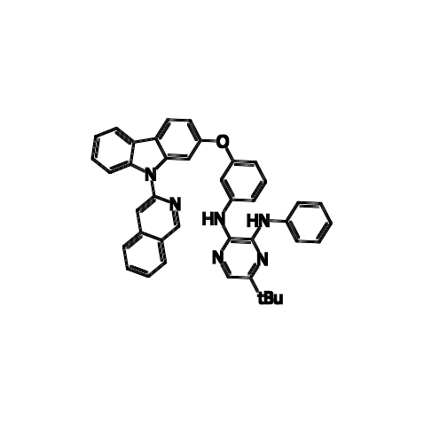 CC(C)(C)c1cnc(Nc2cccc(Oc3ccc4c5ccccc5n(-c5cc6ccccc6cn5)c4c3)c2)c(Nc2ccccc2)n1